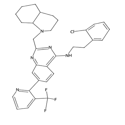 FC(F)(F)c1cccnc1-c1ccc2c(NCCc3ccccc3Cl)nc(CN3CCCC4CCCCC43)nc2c1